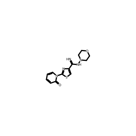 N=C(NN1CCOCC1)c1csc(-n2ccccc2=O)n1